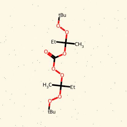 CCC(C)(OOC(=O)OC(C)(CC)OOC(C)(C)C)OOC(C)(C)C